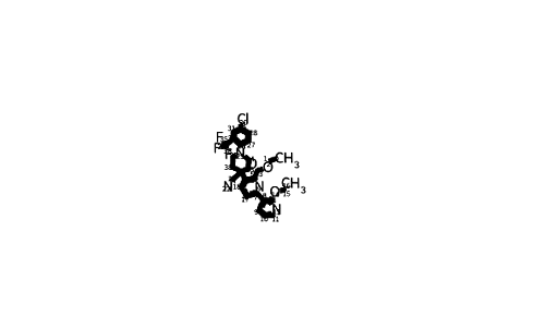 CCOC(=O)c1nc(-c2cccnc2OCC)ccc1C1(C#N)CCN(c2ccc(Cl)cc2C(F)(F)F)CC1